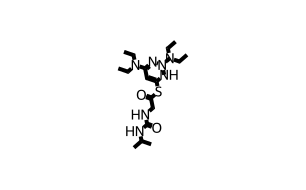 CCN(CC)C1=NN(N(CC)CC)NC(SC(=O)CNC(=O)NC(C)C)=C1